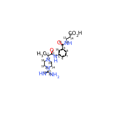 CC(C(=O)Nc1cccc(C(=O)NCCC(=O)O)c1)N1CCN(C(=N)N)CC1